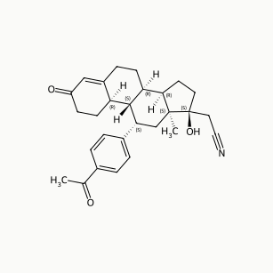 CC(=O)c1ccc([C@H]2C[C@@]3(C)[C@H](CC[C@]3(O)CC#N)[C@@H]3CCC4=CC(=O)CC[C@@H]4[C@H]32)cc1